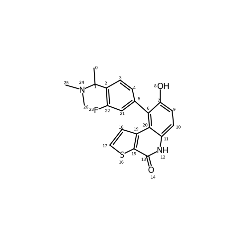 CC(c1ccc(-c2c(O)ccc3[nH]c(=O)c4sccc4c23)cc1F)N(C)C